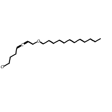 CCCCCCCCCCCCOCC=C=CCCCCl